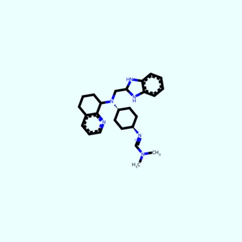 CN(C)/C=N/[C@H]1CC[C@H](N(CC2Nc3ccccc3N2)C2CCCc3cccnc32)CC1